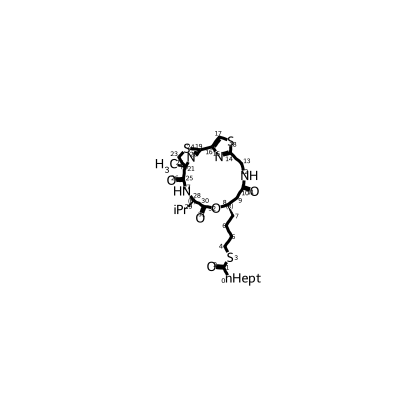 CCCCCCCC(=O)SCCCC[C@@H]1CC(=O)NCc2nc(cs2)C2=N[C@@](C)(CS2)C(=O)N[C@H](C(C)C)C(=O)O1